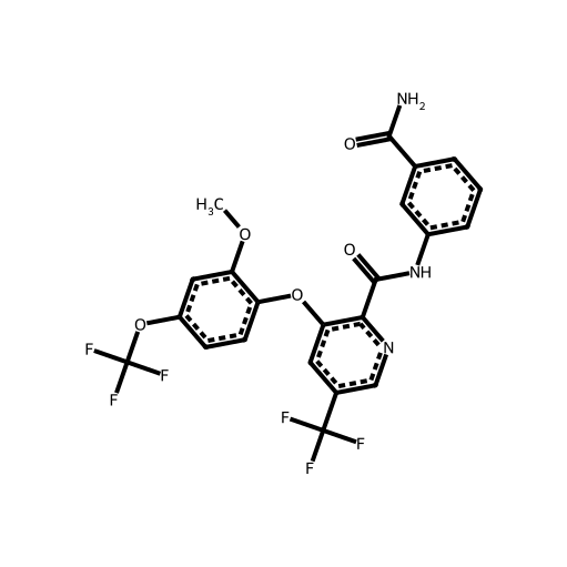 COc1cc(OC(F)(F)F)ccc1Oc1cc(C(F)(F)F)cnc1C(=O)Nc1cccc(C(N)=O)c1